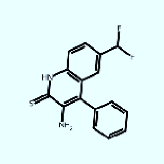 Nc1c(-c2ccccc2)c2cc(C(F)F)ccc2[nH]c1=S